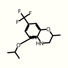 CC(C)OC1=C2C=C(C(F)(F)F)C=C3OC(C)CNC32NC=C1